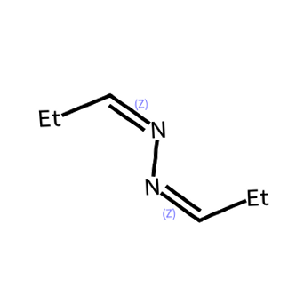 CC/C=N\N=C/CC